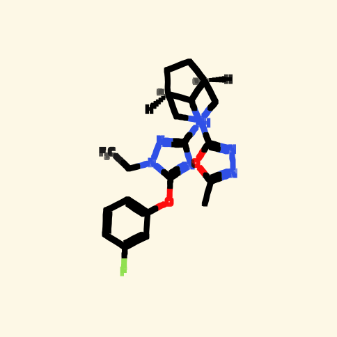 Cc1nnc(N2C[C@H]3CC[C@@H](C2)C3Nc2nc(Oc3cccc(F)c3)n(CC(F)(F)F)n2)o1